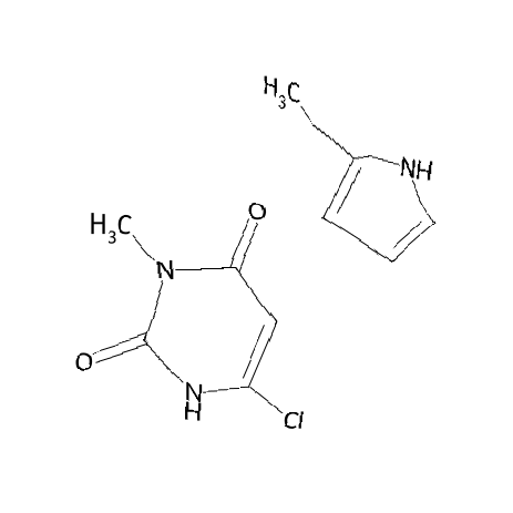 Cc1ccc[nH]1.Cn1c(=O)cc(Cl)[nH]c1=O